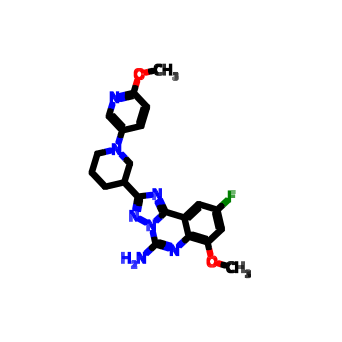 COc1ccc(N2CCCC(c3nc4c5cc(F)cc(OC)c5nc(N)n4n3)C2)cn1